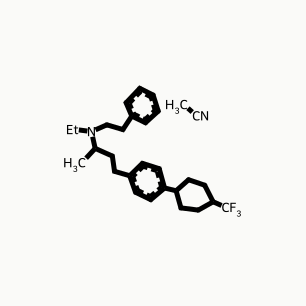 CC#N.CCN(CCc1ccccc1)C(C)CCc1ccc(C2CCC(C(F)(F)F)CC2)cc1